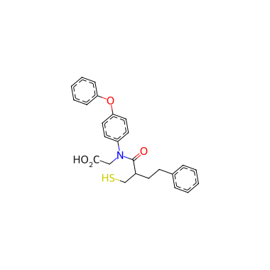 O=C(O)CN(C(=O)C(CS)CCc1ccccc1)c1ccc(Oc2ccccc2)cc1